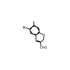 Cc1cc2c(cc1Br)C=C(C=O)CO2